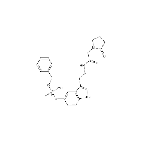 C[PH](O)(OCc1ccccc1)Oc1ccc2[nH]cc(CCNC(=O)CN3CCCC3=O)c2c1